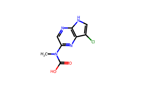 CN(C(=O)O)c1cnc2[nH]cc(Cl)c2n1